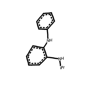 CC(C)Nc1ccccc1Nc1ccccc1